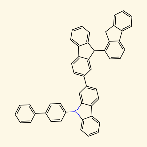 c1ccc(-c2ccc(-n3c4ccccc4c4ccc(-c5ccc6c(c5)C(c5cccc7c5Cc5ccccc5-7)c5ccccc5-6)cc43)cc2)cc1